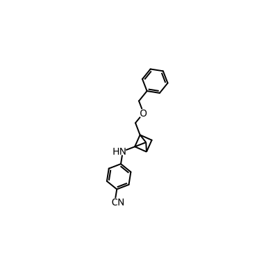 N#Cc1ccc(NC2C3CC2(COCc2ccccc2)C3)cc1